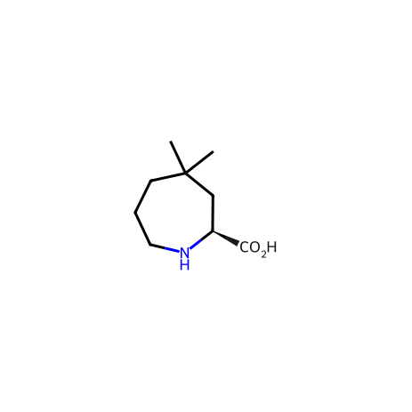 CC1(C)CCCN[C@H](C(=O)O)C1